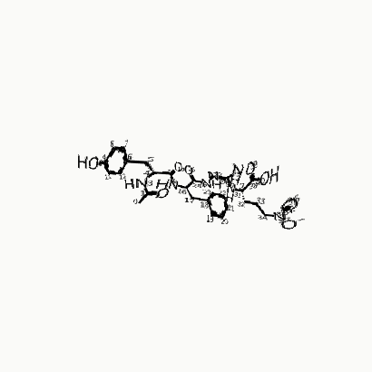 CC(=O)N[C@@H](Cc1ccc(O)cc1)C(=O)N[C@H](Cc1ccccc1)C(=O)NN=C(N)N[C@@H](CCC[N+](=O)[O-])C(=O)O